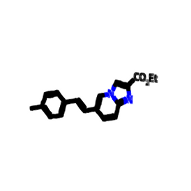 CCOC(=O)c1cn2cc(C=Cc3ccc(C)cc3)ccc2n1